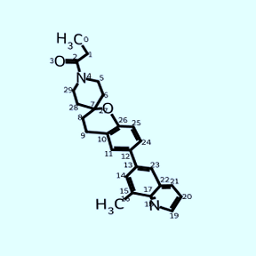 CCC(=O)N1CCC2(CCc3cc(-c4cc(C)c5ncccc5c4)ccc3O2)CC1